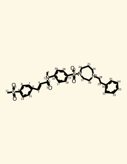 CN(C(=O)/C=C/c1ccc(S(C)(=O)=O)cc1)c1ccc(S(=O)(=O)N2CCCN(CCc3ccccc3)CC2)cc1